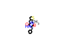 Cn1c(=O)/c(=C/c2ccccc2)[nH]c(=O)/c1=C/c1ccsc1